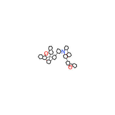 c1ccc(-c2ccccc2N(c2ccc(-c3ccc4oc5ccccc5c4c3)cc2)c2cccc(-c3ccc4c(c3)C3(c5ccccc5-4)c4ccc5ccccc5c4Oc4c3ccc3ccccc43)c2)cc1